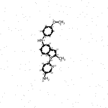 COc1ccc(Nc2ccc3c(c2)cc(C)n3-c2ccc(N)cn2)cc1